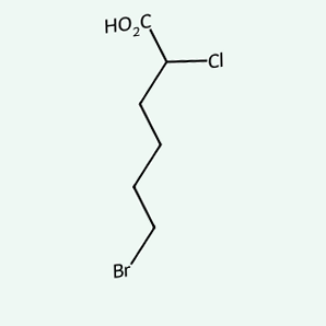 O=C(O)C(Cl)CCCCBr